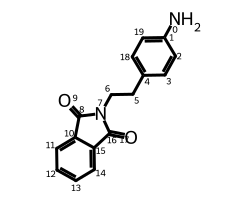 Nc1ccc(CCN2C(=O)c3ccccc3C2=O)cc1